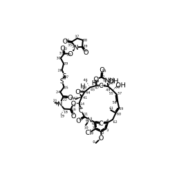 COc1cc2cc(c1Cl)N(C)C(=O)C[C@H](OC(=O)[C@H](C)N(C)C(=O)CCSSCCCC(=O)ON1C(=O)CCC1=O)[C@]1(C)O[C@H]1[C@H](C)[C@@H]1C[C@@](O)(NC(=O)O1)[C@H](O)/C=C/C=C(\C)C2